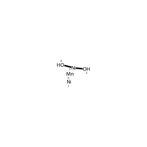 [Mn].[Ni].[OH][Ni][OH]